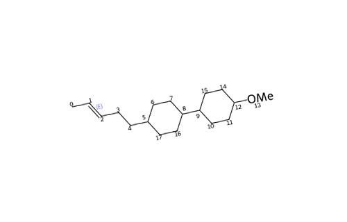 C/C=C/CCC1CCC(C2CCC(OC)CC2)CC1